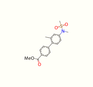 COC(=O)c1ccc(-c2ccc(N(C)S(C)(=O)=O)cc2C)cc1